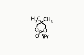 CC(C)P1(=O)OCC(C)(C)CO1